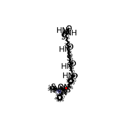 O=C(CCCCC1SCC2NC(=O)NC21)NCCSSCCC(=O)NCCCNC(=O)c1ccc(-c2csc(N3N=C(c4ccccc4)/C(=N/Nc4nccs4)C3=O)n2)cc1